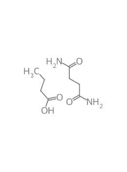 CCCC(=O)O.NC(=O)CCC(N)=O